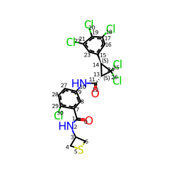 O=C(NC1CSC1)c1cc(NC(=O)[C@@H]2[C@@H](c3cc(Cl)c(Cl)c(Cl)c3)C2(Cl)Cl)ccc1Cl